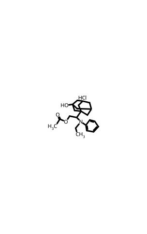 CCN(c1ccccc1)C(COC(C)=O)C12CC3CC(CC(O)(C3)C1)C2.Cl